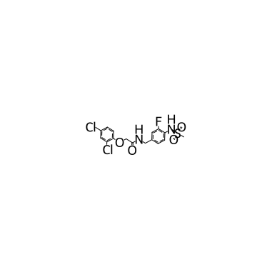 CS(=O)(=O)Nc1ccc(CNC(=O)COc2ccc(Cl)cc2Cl)cc1F